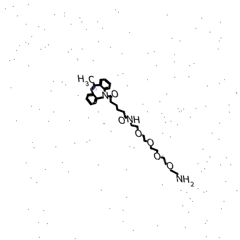 C/C1=C/c2ccccc2CN(C(=O)CCCCC(=O)NCCOCCOCCOCCOCCN)c2ccccc21